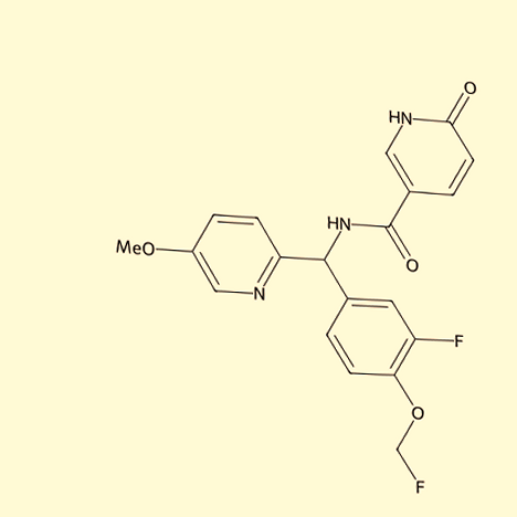 COc1ccc(C(NC(=O)c2ccc(=O)[nH]c2)c2ccc(OCF)c(F)c2)nc1